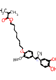 C=C(C)C(=O)OCCCCCCCCOc1ccc(/C=C(\C#N)c2ccc(O)c(O)c2)cc1OC